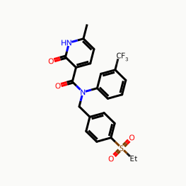 CCS(=O)(=O)c1ccc(CN(C(=O)c2ccc(C)[nH]c2=O)c2cccc(C(F)(F)F)c2)cc1